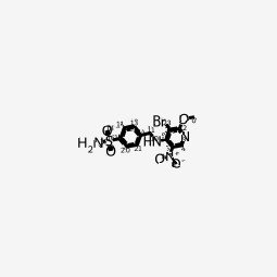 COc1ncc([N+](=O)[O-])c(NCc2ccc(S(N)(=O)=O)cc2)c1Br